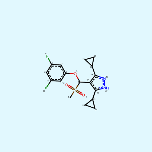 CS(=O)(=O)C(Oc1cc(F)cc(F)c1)c1c(C2CC2)n[nH]c1C1CC1